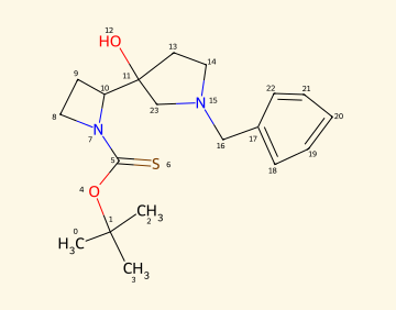 CC(C)(C)OC(=S)N1CCC1C1(O)CCN(Cc2ccccc2)C1